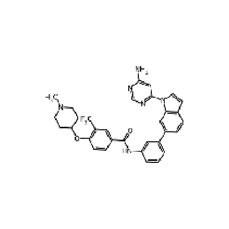 CN1CCC(Oc2ccc(C(=O)Nc3cccc(-c4ccc5ccn(-c6cc(N)ncn6)c5c4)c3)cc2C(F)(F)F)CC1